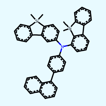 C[Si]1(C)c2ccccc2-c2cc(N(c3ccc(-c4cccc5ccccc45)cc3)c3cccc4c3[Si](C)(C)c3ccccc3-4)ccc21